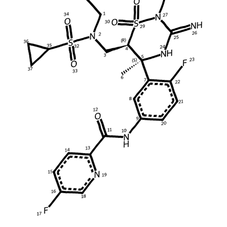 CCN(C[C@@H]1[C@](C)(c2cc(NC(=O)c3ccc(F)cn3)ccc2F)NC(=N)N(C)S1(=O)=O)S(=O)(=O)C1CC1